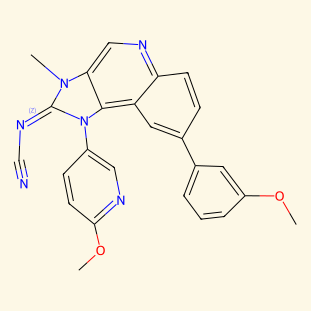 COc1cccc(-c2ccc3ncc4c(c3c2)n(-c2ccc(OC)nc2)/c(=N\C#N)n4C)c1